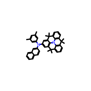 Cc1cc(C)cc(N(c2cc3c4c(c2)C(C)(C)c2cccc5c2N4c2c(cccc2C3(C)C)C5(C)C)c2ccc3ccccc3c2)c1